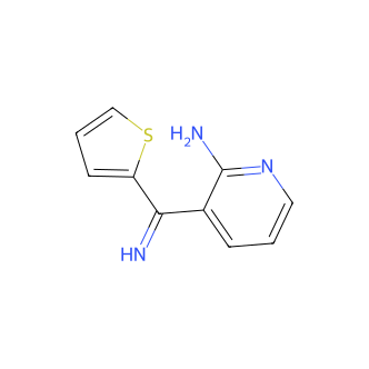 N=C(c1cccs1)c1cccnc1N